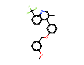 COc1cccc(COc2cccc(-c3c(C)cnc4c(C(F)(F)F)cccc34)c2)c1